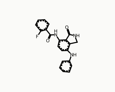 O=C(Nc1ccc(Nc2ccccc2)c2c1C(=O)NC2)c1ccccc1F